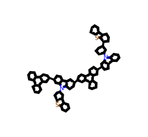 c1cc(-c2cccc3c2sc2ccccc23)cc(-n2c3ccccc3c3ccc(-c4ccc5c6ccc(-c7ccc8c(c7)c7ccc(-c9ccc%10c%11ccccc%11c%11ccccc%11c%10c9)cc7n8-c7ccc8sc9ccccc9c8c7)cc6c6ccccc6c5c4)cc32)c1